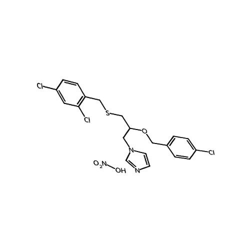 Clc1ccc(COC(CSCc2ccc(Cl)cc2Cl)Cn2ccnc2)cc1.O=[N+]([O-])O